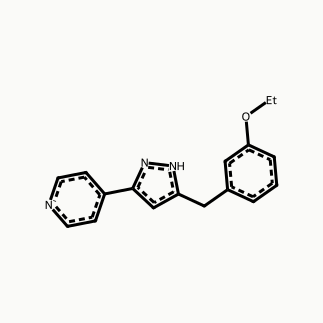 CCOc1cccc(Cc2cc(-c3ccncc3)n[nH]2)c1